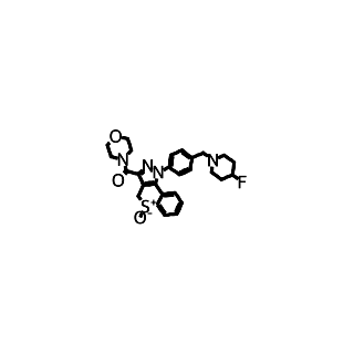 O=C(c1nn(-c2ccc(CN3CCC(F)CC3)cc2)c2c1C[S+]([O-])c1ccccc1-2)N1CCOCC1